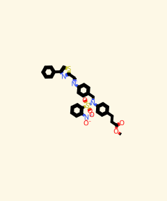 COC(=O)CCc1ccc(N(Cc2ccc(/N=C/c3nc(-c4ccccc4)cs3)cc2)S(=O)(=O)c2ccccc2[N+](=O)[O-])cc1